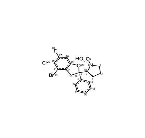 O=C(O)N1CCC[C@H]1[C@@]1(c2ccccc2)Cc2c(cc(F)c(Cl)c2Br)O1